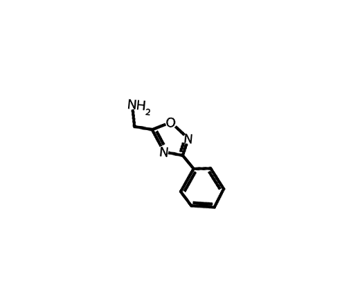 NCc1nc(-c2ccccc2)no1